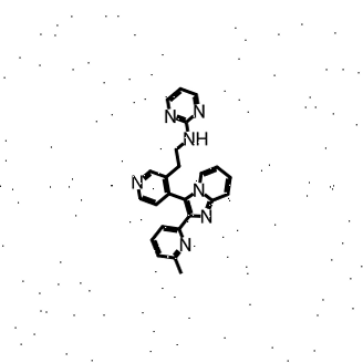 Cc1cccc(-c2nc3ccccn3c2-c2ccncc2CCNc2ncccn2)n1